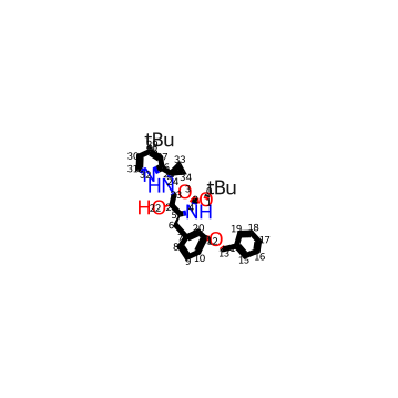 CC(C)(C)OC(=O)N[C@@H](Cc1cccc(OCc2ccccc2)c1)[C@H](O)CNC1(c2cc(C(C)(C)C)ccn2)CC1